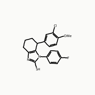 COc1ccc(C2CCCc3nc(S)n(-c4ccc(F)cc4)c32)cc1Cl